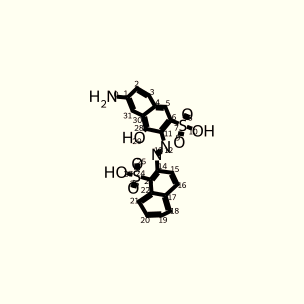 Nc1ccc2cc(S(=O)(=O)O)c(N=Nc3ccc4ccccc4c3S(=O)(=O)O)c(O)c2c1